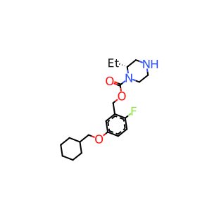 CC[C@@H]1CNCCN1C(=O)OCc1cc(OCC2CCCCC2)ccc1F